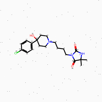 CC1(C)NC(=O)N(CCCCN2CCC(O)(c3ccc(Cl)cc3)CC2)C1=O